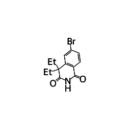 CCC1(CC)C(=O)NC(=O)c2ccc(Br)cc21